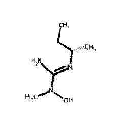 CC[C@H](C)/N=C(\N)N(C)O